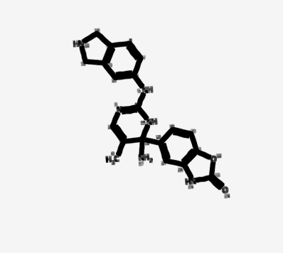 CC1=CN=C(Nc2ccc3c(c2)CNC3)NC1(N)c1ccc2oc(=O)[nH]c2c1